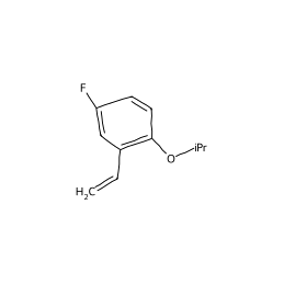 C=Cc1cc(F)ccc1OC(C)C